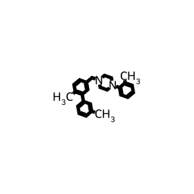 Cc1cccc(-c2cc(CN3CCN(c4ccccc4C)CC3)ccc2C)c1